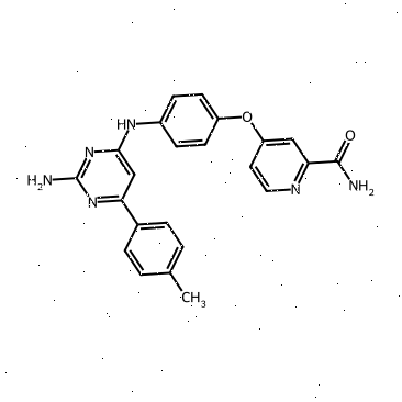 Cc1ccc(-c2cc(Nc3ccc(Oc4ccnc(C(N)=O)c4)cc3)nc(N)n2)cc1